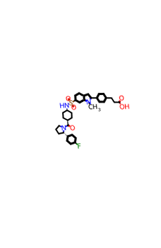 Cn1c(-c2ccc(CCC(=O)O)cc2)cc2ccc(S(=O)(=O)N[C@H]3CC[C@H](C(=O)N4CCC[C@H]4c4ccc(F)cc4)CC3)cc21